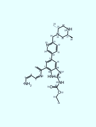 C=C(/N=C\C=C/N)c1cc(-c2ccc(CN3C[C@H](C)NC[C@H]3C)nc2)cc2nc(NC(=O)OCC)[nH]c12